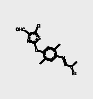 CCN(C)/C=N/c1cc(C)c(Oc2nc(C=O)c(Cl)s2)cc1C